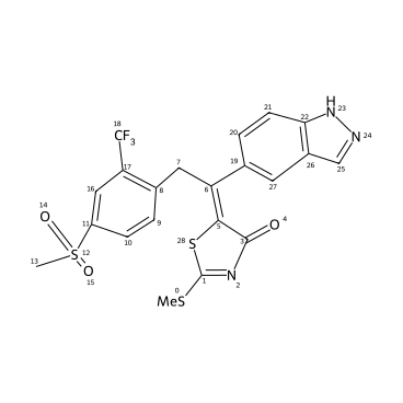 CSC1=NC(=O)C(=C(Cc2ccc(S(C)(=O)=O)cc2C(F)(F)F)c2ccc3[nH]ncc3c2)S1